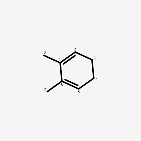 CC1=[C]CCC=C1C